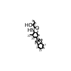 CC=C(O)C(=O)Nc1ccc(-n2nc3ccccc3n2)cc1C